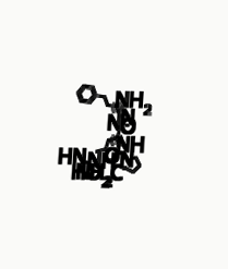 N=C(N)NCCC[C@H](NC(=O)N1CCCC1C(=O)O)c1nc([C@@H](N)CCc2ccccc2)no1